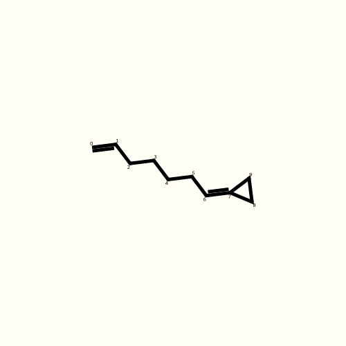 C=CCCCCC=C1CC1